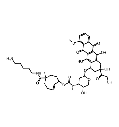 COc1cccc2c1C(=O)c1c(O)c3c(c(O)c1C2=O)CC(O)(C(=O)CO)CC3OC1CC(NC(=O)OC2/C=C/CCC(C)(C(=O)NCCCCCN)CC2)C(O)CO1